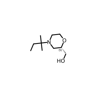 CCC(C)(C)N1CCO[C@H](CO)C1